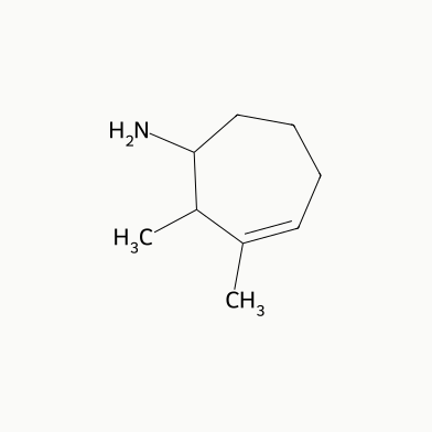 CC1=CCCCC(N)C1C